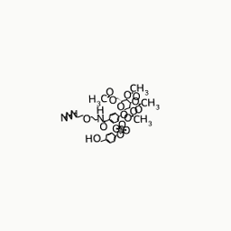 CC(=O)OC[C@H]1O[C@@H](Oc2ccc(C(=O)NCCOCCN=[N+]=[N-])cc2OS(=O)(=O)Oc2ccc(CO)cc2)[C@H](OC(C)=O)[C@@H](OC(C)=O)[C@H]1OC(C)=O